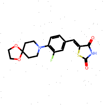 O=C1NC(=O)C(=Cc2ccc(N3CCC4(CC3)OCCO4)c(F)c2)S1